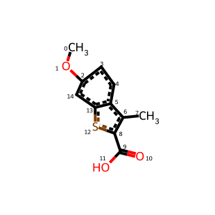 COc1ccc2c(C)c(C(=O)O)sc2c1